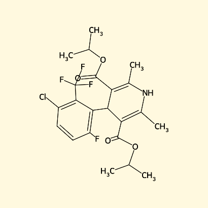 CC1=C(C(=O)OC(C)C)C(c2c(F)ccc(Cl)c2C(F)(F)F)C(C(=O)OC(C)C)=C(C)N1